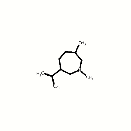 CC1CCC(C(C)C)CN(C)C1